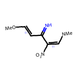 CN/C=C(\C(=N)/C=C/OC)[N+](=O)[O-]